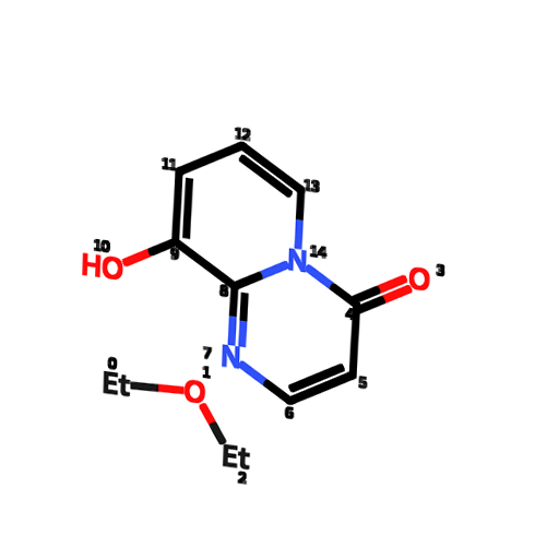 CCOCC.O=c1ccnc2c(O)cccn12